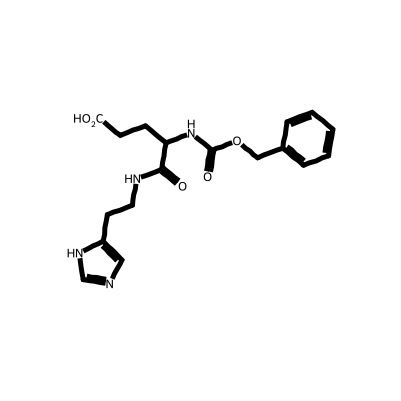 O=C(O)CCC(NC(=O)OCc1ccccc1)C(=O)NCCc1cnc[nH]1